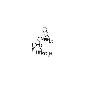 CCNCC(CC1CCCCC1)NC(=O)N1CCCC(C(OCCNC(=O)O)c2cccc(F)c2)C1